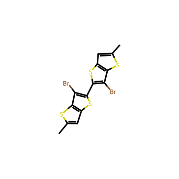 Cc1cc2sc(-c3sc4cc(C)sc4c3Br)c(Br)c2s1